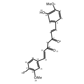 COc1ccc(C=CC(=O)CC(=O)C=Cc2ccc(F)c(OC)c2)cc1O